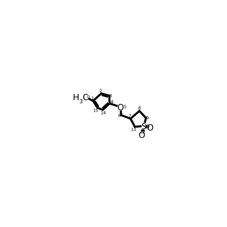 Cc1ccc(OCC2CCS(=O)(=O)C2)cc1